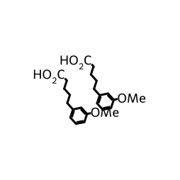 COc1cccc(CCCCC(=O)O)c1.COc1cccc(CCCCC(=O)O)c1